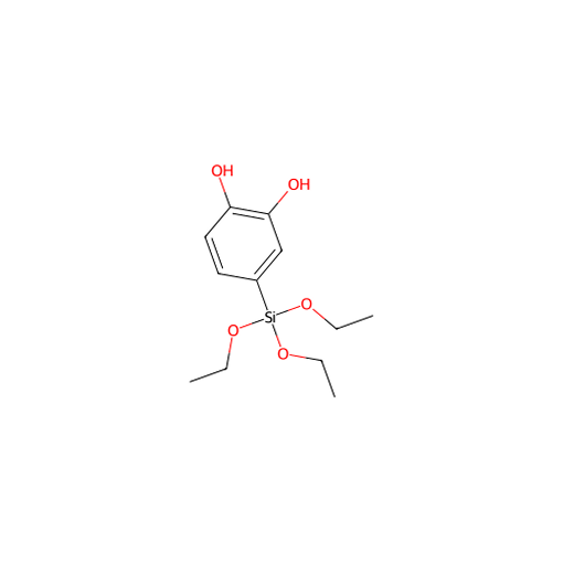 CCO[Si](OCC)(OCC)c1ccc(O)c(O)c1